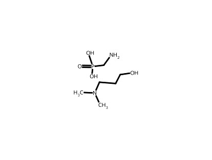 CN(C)CCCO.NCP(=O)(O)O